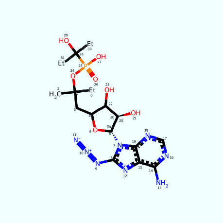 CCC(C)(CC1O[C@@H](n2c(N=[N+]=[N-])nc3c(N)ncnc32)[C@H](O)C1O)OP(=O)(O)C(O)(CC)CC